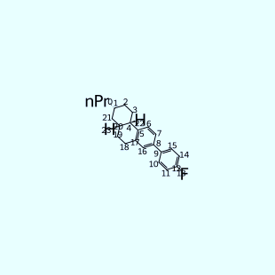 CCC[C@@H]1CC[C@@H]2c3ccc(-c4ccc(F)cc4)cc3CC[C@@H]2C1